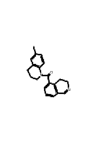 Cc1ccc2c(c1)CCCN2C(=O)c1cccc2c1CCN=C2